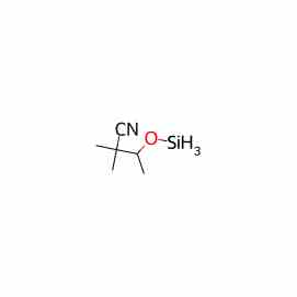 CC(O[SiH3])C(C)(C)C#N